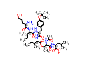 CC[C@H](C)[C@H](NC(=O)[C@@H](N)CCCO)C(=O)N[C@@H](Cc1ccc(OC(C)(C)C)cc1)C(=O)N[C@H](C(=O)O[C@H](C)[C@H](NC(C)=O)C(=O)N[C@@H](CC(C)C)C(=O)O)[C@@H](C)CC